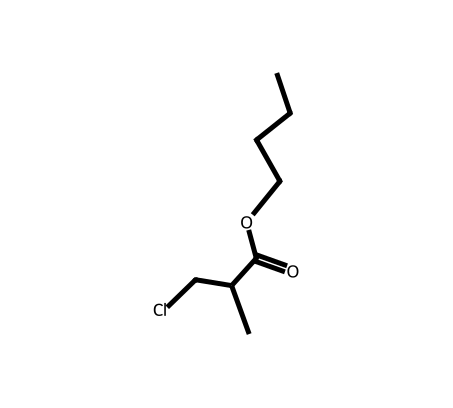 CCCCOC(=O)C(C)CCl